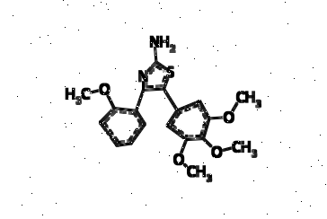 COc1ccccc1-c1nc(N)sc1-c1cc(OC)c(OC)c(OC)c1